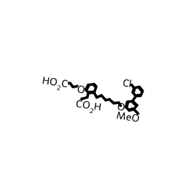 COCc1cc(OCCCCCCc2cccc(OCCCC(=O)O)c2CCC(=O)O)cc(-c2cccc(Cl)c2)c1